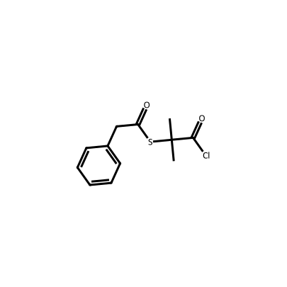 CC(C)(SC(=O)Cc1ccccc1)C(=O)Cl